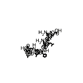 CNC(=O)CN(C[C@H](CCC(=O)O)NC(=O)CN(C[C@H](Cc1ccccc1)NC(=O)CN(C[C@H](CC(C)C)NC(=O)CN(C[C@H](CCC(=O)O)NC(C)=O)S(=O)(=O)CCN)S(=O)(=O)CCN)S(=O)(=O)CC(C)C)S(=O)(=O)CC(C)C